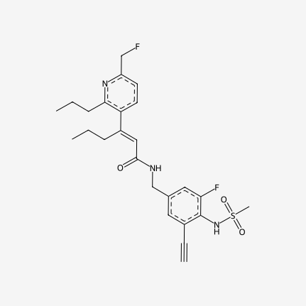 C#Cc1cc(CNC(=O)/C=C(\CCC)c2ccc(CF)nc2CCC)cc(F)c1NS(C)(=O)=O